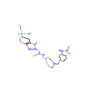 Nc1ccc(C(F)(F)F)cc1C(=O)NCC(=O)NCC1CCN(Cc2ccc3oc(=S)[nH]c3c2)CC1